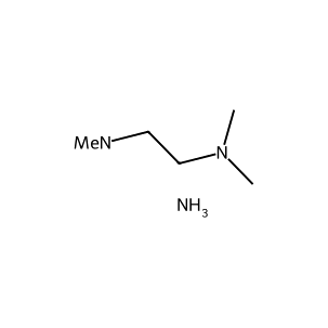 CNCCN(C)C.N